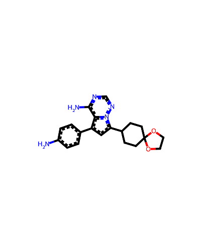 Nc1ccc(-c2cc(C3CCC4(CC3)OCCO4)n3ncnc(N)c23)cc1